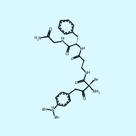 CC(C)[C@@](N)(C(=O)Cc1ccc([SiH](C(C)(C)C)C(C)(C)C)cc1)C(=O)NCCC(=O)N[C@@H](Cc1ccccc1)C(=O)NCC(N)=O